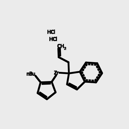 C=CC[C]1([Zr][C]2=C(CCCC)C=CC2)C=Cc2ccccc21.Cl.Cl